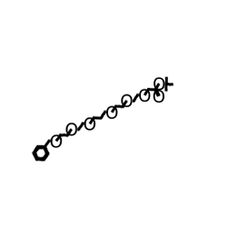 CC(C)(C)OC(=O)COCCOCCOCCCOCCOCCOCc1ccccc1